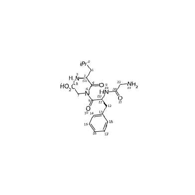 CC(C)C[C@H](N)C(=O)N(CC(=O)O)C(=O)[C@H](Cc1ccccc1)NC(=O)CN